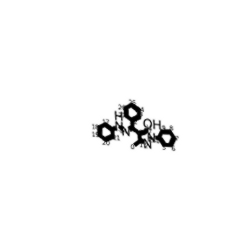 Cc1nn(-c2ccccc2)c(O)c1C(=NNc1ccccc1)c1ccccc1